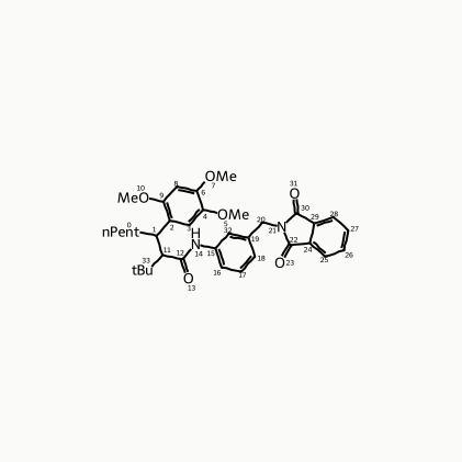 CCCCCC(c1cc(OC)c(OC)cc1OC)C(C(=O)Nc1cccc(CN2C(=O)c3ccccc3C2=O)c1)C(C)(C)C